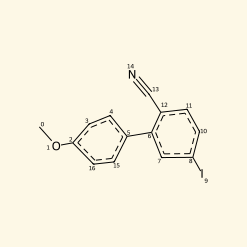 COc1ccc(-c2cc(I)ccc2C#N)cc1